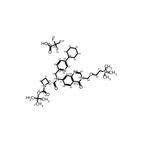 CC(C)(C)OC(=O)N1CC[C@@H]1C(=O)N(Cc1ccc(C2CCCCC2)cn1)c1ccc2c(=O)n(COCC[Si](C)(C)C)cnc2c1.O=C(O)C(F)(F)F